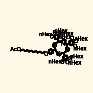 CCCCCCOc1cc(C2=C3C=CC(=N3)C(c3cc(OCCCCCC)c(OCCCCCC)c(OCCCCCC)c3)=C3C=CC(=N3)C(c3cc(OCCCCCC)c(OCCCCCC)c(OCCCCCC)c3)=C3C=CC(=N3)C(c3ccc(OCCCCCCCCCCCCOC(C)=O)cc3)=C3C=CC2=N3)cc(OCCCCCC)c1OCCCCCC